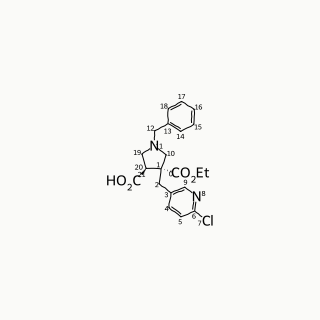 CCOC(=O)[C@@]1(Cc2ccc(Cl)nc2)CN(Cc2ccccc2)C[C@@H]1C(=O)O